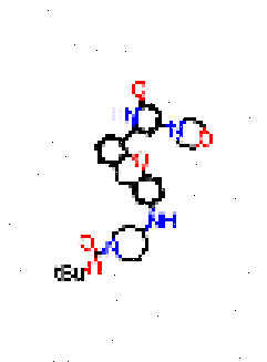 CC(C)(C)OC(=O)N1CCCC(Nc2ccc3c(c2)Cc2cccc(-c4cc(N5CCOCC5)cc(=O)[nH]4)c2O3)CC1